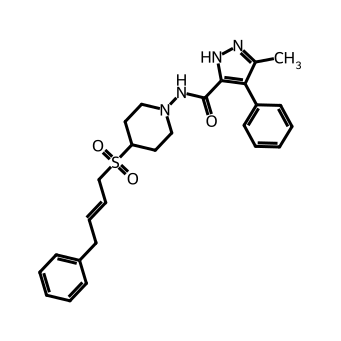 Cc1n[nH]c(C(=O)NN2CCC(S(=O)(=O)CC=CCc3ccccc3)CC2)c1-c1ccccc1